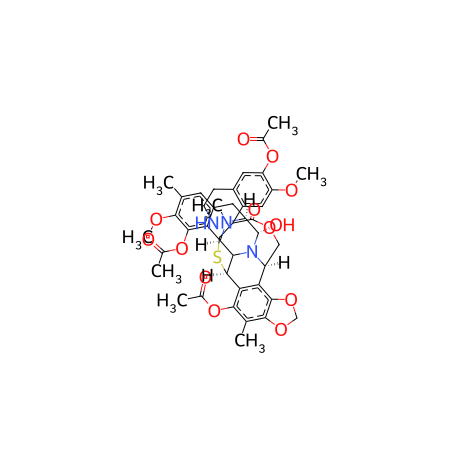 COc1cc2c(cc1OC(C)=O)CCN[C@]21CS[C@@H]2c3c(OC(C)=O)c(C)c4c(c3[C@H](COC1=O)N1C2[C@H]2c3c(cc(C)c(OC)c3OC(C)=O)C[C@@H]([C@@H]1O)N2C)OCO4